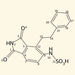 O=C1NC(=O)c2c1ccc(NS(=O)(=O)O)c2CCc1ccccc1